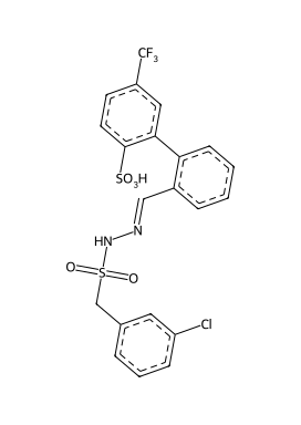 O=S(=O)(Cc1cccc(Cl)c1)N/N=C/c1ccccc1-c1cc(C(F)(F)F)ccc1S(=O)(=O)O